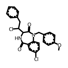 COc1ccc(CN2C(=O)C(C(Cl)Cc3ccccc3)NC(=O)c3cc(Cl)ccc32)cc1